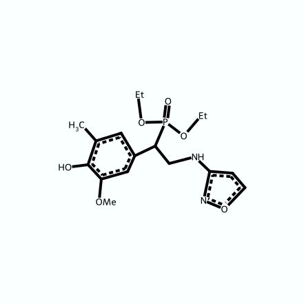 CCOP(=O)(OCC)C(CNc1ccon1)c1cc(C)c(O)c(OC)c1